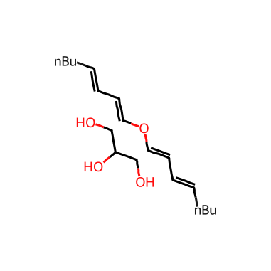 CCCCC=CC=COC=CC=CCCCC.OCC(O)CO